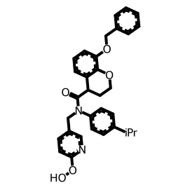 CC(C)c1ccc(N(Cc2ccc(OO)nc2)C(=O)C2CCOc3c(OCc4ccccc4)cccc32)cc1